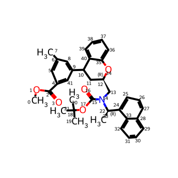 COC(=O)c1cc(C)cc(C2C[C@H](CN(C(=O)OC(C)(C)C)[C@H](C)c3cccc4ccccc34)Oc3ccccc32)c1